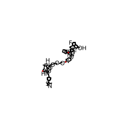 C#Cc1c(F)ccc2cc(O)cc(-c3ncc4c(N5CC6CCC(C5)N6)nc(OC5CCN(CCOCCOCCOCC(=O)NC(C(=O)N6CCC[C@H]6C(=O)NCc6ccc(-c7scnc7C)cc6)C(C)(C)C)CC5)nc4c3F)c12